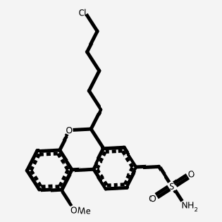 COc1cccc2c1-c1ccc(CS(N)(=O)=O)cc1C(CCCCCCl)O2